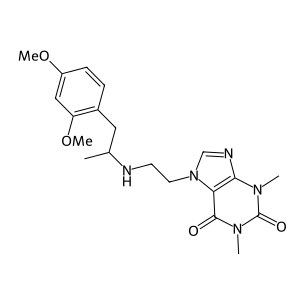 COc1ccc(CC(C)NCCn2cnc3c2c(=O)n(C)c(=O)n3C)c(OC)c1